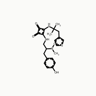 CN(C)C(CNc1c(NC(C)(C)Cc2ccsc2)c(=O)c1=O)Cc1ccc(O)cc1